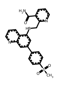 CS(=O)(=O)c1ccc(-c2cc(BCc3ncccc3C(N)=O)c3cccnc3c2)cc1